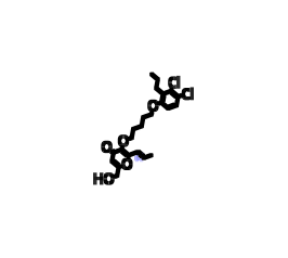 C/C=C/c1oc(CO)cc(=O)c1OCCCCCOc1ccc(Cl)c(Cl)c1CCC